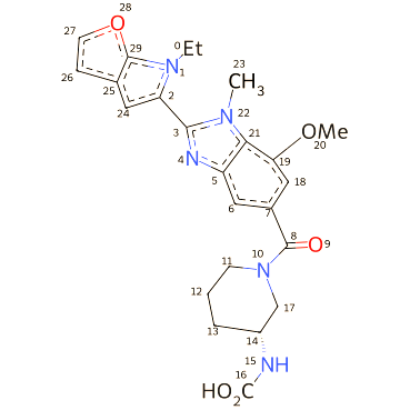 CCn1c(-c2nc3cc(C(=O)N4CCC[C@@H](NC(=O)O)C4)cc(OC)c3n2C)cc2ccoc21